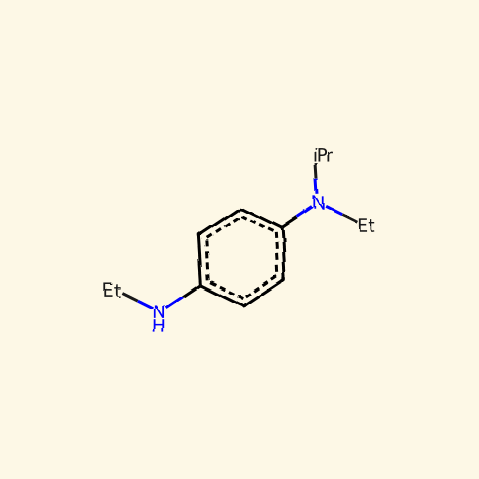 CCNc1ccc(N(CC)C(C)C)cc1